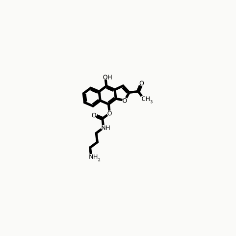 CC(=O)c1cc2c(O)c3ccccc3c(OC(=O)NCCCN)c2o1